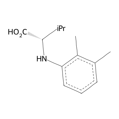 Cc1cccc(N[C@H](C(=O)O)C(C)C)c1C